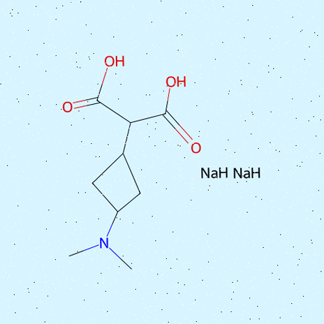 CN(C)C1CC(C(C(=O)O)C(=O)O)C1.[NaH].[NaH]